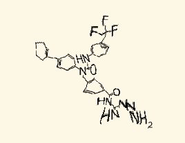 N=C(/N=N\N)NC(=O)c1ccc(CN(C(=O)Nc2cccc(C(F)(F)F)c2)c2ccc(C3=CCCCC3)cc2)cc1